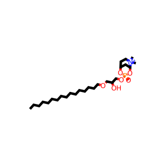 CCCCCCCCCCCCCCCCOCC(O)COP1(=O)OC2CC[N+](C)(C)C(C2)O1